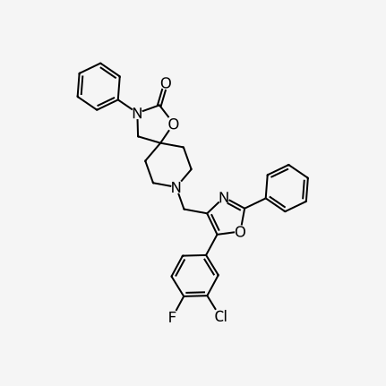 O=C1OC2(CCN(Cc3nc(-c4ccccc4)oc3-c3ccc(F)c(Cl)c3)CC2)CN1c1ccccc1